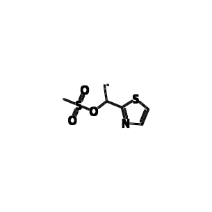 [CH2]C(OS(C)(=O)=O)c1nccs1